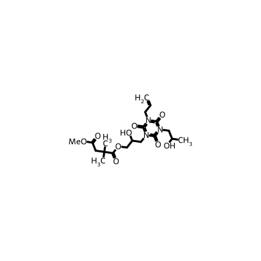 C=CCn1c(=O)n(CC(C)O)c(=O)n(CC(O)COC(=O)C(C)(C)CC(=O)OC)c1=O